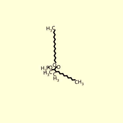 CCCCCCCCCCCCCCCCOC(=O)C(C(C)CCCCCCCCCC)C(C)OP